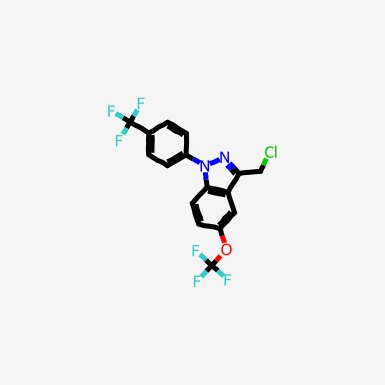 FC(F)(F)Oc1ccc2c(c1)c(CCl)nn2-c1ccc(C(F)(F)F)cc1